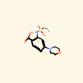 CS(=O)(=O)Nc1cc(N2CCOCC2)ccc1C(=O)O